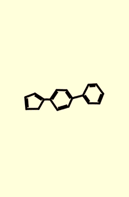 C1=CCC(c2ccc(-c3ccccc3)cc2)=C1